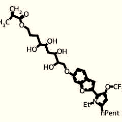 C=C(C)C(=O)OCCCC(O)C(O)CC(O)C(O)COc1ccc2cc(-c3c(OC(F)(F)F)cc(CCCCC)n3CC)oc2c1